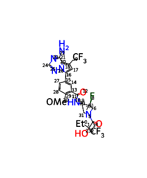 CCC(O)(C(=O)N1C[C@H](F)[C@H](NC(=O)c2cc(-c3cc(C(F)(F)F)c4c(N)ncnn34)ccc2OC)C1)C(F)(F)F